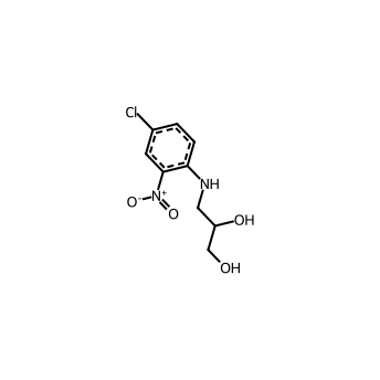 O=[N+]([O-])c1cc(Cl)ccc1NCC(O)CO